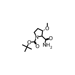 CO[C@H]1CCN(C(=O)OC(C)(C)C)C1C(N)=O